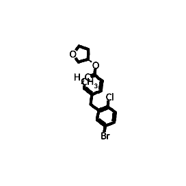 C=C(/C=C\C(=C/C)Cc1cc(Br)ccc1Cl)O[C@H]1CCOC1